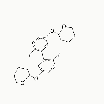 Ic1ccc(OC2CCCCO2)cc1-c1cc(OC2CCCCO2)ccc1I